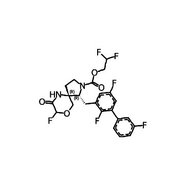 O=C1N[C@@]2(CCN(C(=O)OCC(F)F)[C@@H]2Cc2cc(F)cc(-c3cccc(F)c3)c2F)COC1F